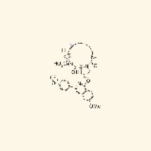 COc1ccc2c(O[C@@H]3C[C@H]4C(=O)N[C@]5(C(=O)O)C[C@H]5/C=C\CCCCN(C)C(=O)N4C3)nc(-c3ccc(OC(F)(F)F)cc3)cc2c1